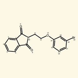 O=C1c2ccccc2C(=O)N1CCOc1cncc(Br)c1